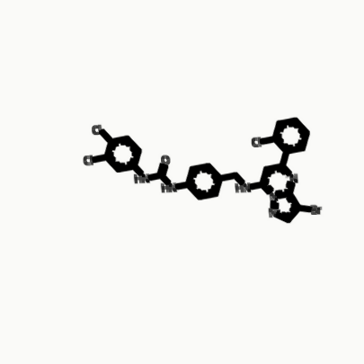 O=C(Nc1ccc(CNc2cc(-c3ccccc3Cl)nc3c(Br)cnn23)cc1)Nc1ccc(Cl)c(Cl)c1